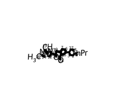 CCCN1CCC(c2ccc3cc(-c4cn5cc(C)nc(C)c5n4)oc(=O)c3c2)CC1